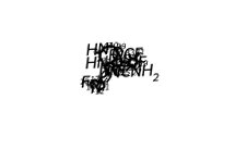 CC1CNc2nc(OCC34CCCN3C[C@H](F)C4)nc3c(F)c(-c4c(C#N)c(N)c(F)c(F)c4C(F)(F)F)nc(c23)O[C@@H](C)CCN1